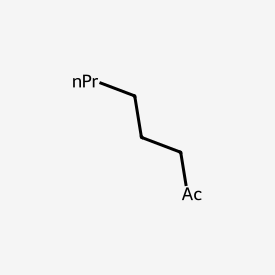 [CH2]CCCCCC(C)=O